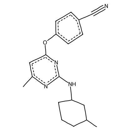 Cc1cc(Oc2ccc(C#N)cc2)nc(NC2CCCC(C)C2)n1